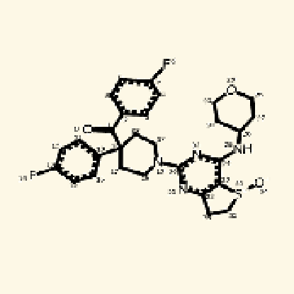 O=C(c1ccc(F)cc1)C1(c2ccc(F)cc2)CCN(c2nc3c(c(NC4CCOCC4)n2)[S+]([O-])CC3)CC1